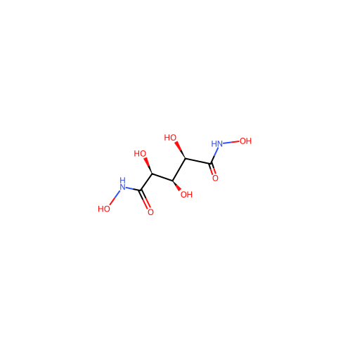 O=C(NO)[C@@H](O)[C@H](O)[C@@H](O)C(=O)NO